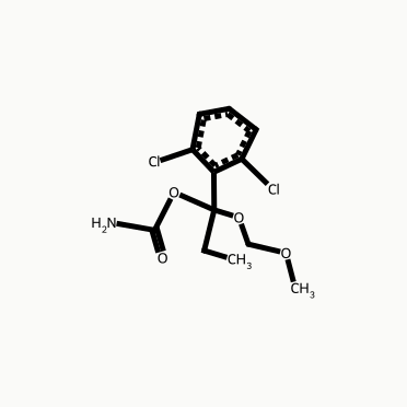 CCC(OCOC)(OC(N)=O)c1c(Cl)cccc1Cl